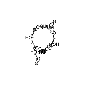 COC1C/C=C\C[C@@H](O)C/C=C(C)/C=C/C(=O)O[C@@H]([C@H](C)C(O)C(C)[C@@H](O)C(C)CCC2CC(OC)C[C@H](C)O2)C[C@H](O)[C@H](C)[C@@H](CO)CC2CC=C[C@@H](CC(O)C/C=C(C)/C=C/C(=O)O[C@@H](C(C)CCC3C[C@H](OC)C[C@H](C)O3)C(C)C(O)[C@@H](C)[C@H](O)C[C@H](O)[C@H](C)[C@@H](OC)C1)O2